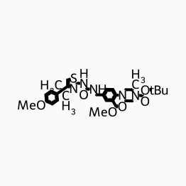 COC(=O)c1cc(CNC(=O)Nc2nc(C(C)(C)c3ccc(OC)cc3)cs2)ccc1N1CCN(C(=O)OC(C)(C)C)C(C)C1